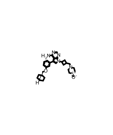 Nc1ncnc2c1c(-c1cccc(OC[C@]34CC[C@H](CC3)O4)c1)cn2C1CC(CN2CC[S+]([O-])CC2)C1